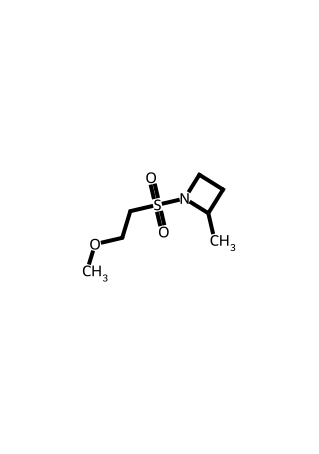 COCCS(=O)(=O)N1CCC1C